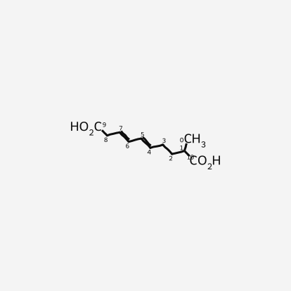 CC(CC/C=C/C=C/CC(=O)O)C(=O)O